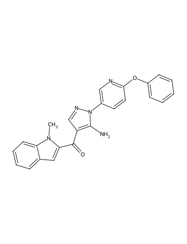 Cn1c(C(=O)c2cnn(-c3ccc(Oc4ccccc4)nc3)c2N)cc2ccccc21